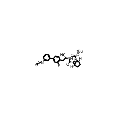 CC(C)(C)OC(=O)N1[C@@H]2CC[C@@H](C2)[C@H]1C(=O)N[C@H](C#N)Cc1ccc(-c2cccc(N=S=O)c2)cc1F